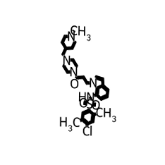 Cc1cc(S(=O)(=O)Nc2cccc3ccn(CCC(=O)N4CCN(CC5CCN(C)CC5)CC4)c23)c(C)cc1Cl